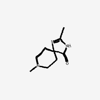 CC1=NC2(CCN(C)CC2)C(=O)N1